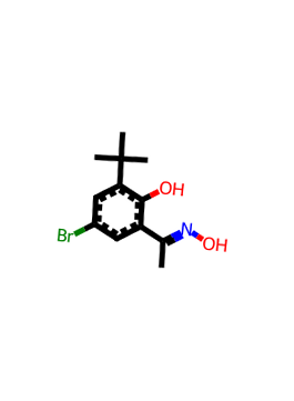 CC(=NO)c1cc(Br)cc(C(C)(C)C)c1O